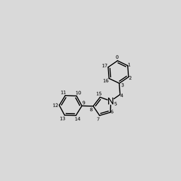 c1ccc(Cn2ccc(-c3ccccc3)c2)cc1